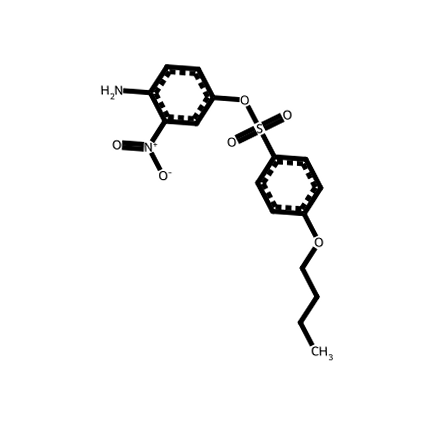 CCCCOc1ccc(S(=O)(=O)Oc2ccc(N)c([N+](=O)[O-])c2)cc1